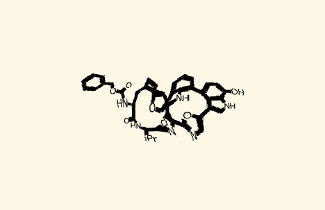 CC(C)C1NC(=O)[C@@H](NC(=O)OCc2ccccc2)Cc2ccc3c(c2)C24c5cccc(c5NC2O3)-c2ccc(O)c3[nH]cc(c23)-c2cnc(o2)-c2nc1oc24